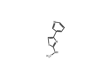 CNc1nc(-c2cccnc2)cs1